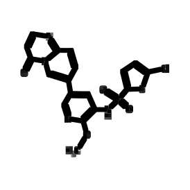 COc1ncc(-c2ccc3nccc(=O)n3c2)cc1NS(=O)(=O)c1ccc(Cl)s1